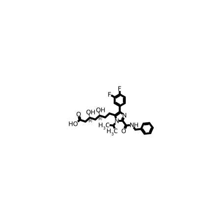 CC(C)n1c(C(=O)NCc2ccccc2)nc(-c2ccc(F)c(F)c2)c1CC[C@@H](O)C[C@@H](O)CC(=O)O